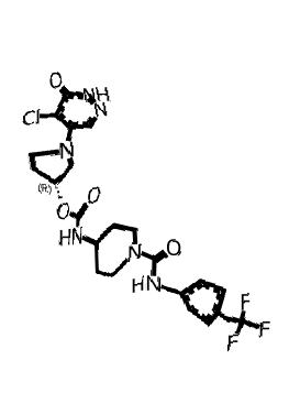 O=C(NC1CCN(C(=O)Nc2ccc(C(F)(F)F)cc2)CC1)O[C@@H]1CCN(c2cn[nH]c(=O)c2Cl)C1